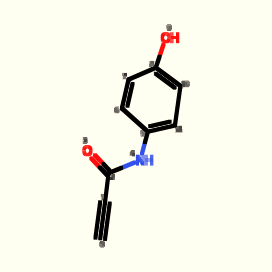 C#CC(=O)Nc1ccc(O)cc1